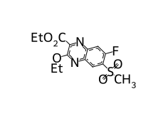 CCOC(=O)c1nc2cc(F)c(S(C)(=O)=O)cc2nc1OCC